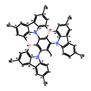 Cc1c2c3c4c5c1-n1c6ccc(C#N)cc6c6cc(C#N)cc(c61)B5c1cc(C#N)cc5c6cc(C#N)cc(c6n-4c15)B3c1cc(C#N)cc3c4cc(C#N)ccc4n-2c13